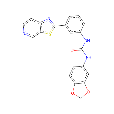 O=C(Nc1cccc(-c2nc3ccncc3s2)c1)Nc1ccc2c(c1)OCO2